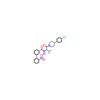 CC(C)C(NC(=O)c1cccc(-c2ccccc2[N+](=O)[O-])c1)C(=O)N1CCC(c2ccc(Cl)cc2)CC1